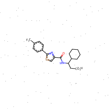 O=C(O)CC(NC(=O)c1csc(-c2ccc(C(F)(F)F)cc2)n1)C1CCCCC1